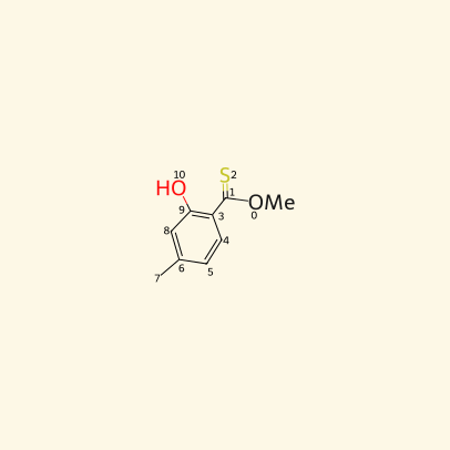 COC(=S)c1ccc(C)cc1O